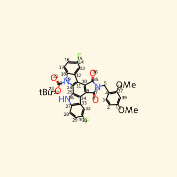 COc1ccc(CN2C(=O)c3c(c4c5cc(F)ccc5n(C(=O)OC(C)(C)C)c4c4[nH]c5ccc(F)cc5c34)C2=O)c(OC)c1